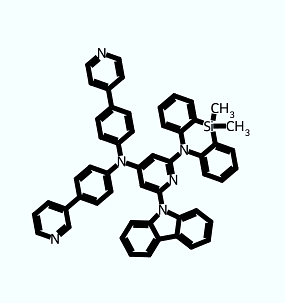 C[Si]1(C)c2ccccc2N(c2cc(N(c3ccc(-c4ccncc4)cc3)c3ccc(-c4cccnc4)cc3)cc(-n3c4ccccc4c4ccccc43)n2)c2ccccc21